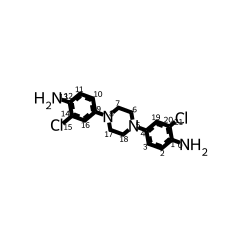 Nc1ccc(N2CCN(c3ccc(N)c(Cl)c3)CC2)cc1Cl